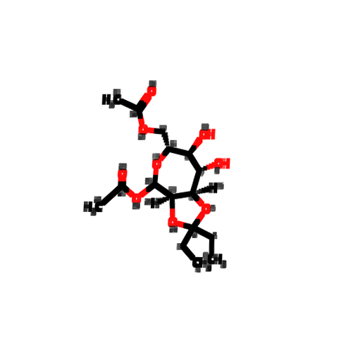 CCC1(CC)O[C@@H]2[C@@H](O)[C@H](O)[C@@H](COC(C)=O)OC(OC(C)=O)[C@@H]2O1